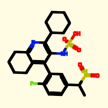 CC(c1ccc(F)c(-c2c3c(nc(C4CCCCC4)c2NS(=O)(=O)O)CCCC3)c1)[SH](=O)=O